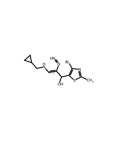 Cc1nc(Br)c(C(O)/C(=C/NCC2CC2)N=N)s1